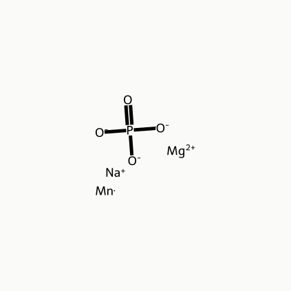 O=P([O-])([O-])[O-].[Mg+2].[Mn].[Na+]